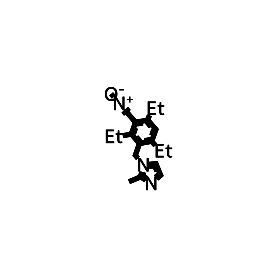 CCc1cc(CC)c(Cn2ccnc2C)c(CC)c1C#[N+][O-]